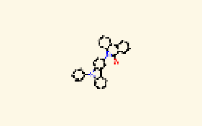 O=c1c2ccccc2c2ccccc2n1-c1ccc2c(c1)c1ccccc1n2-c1ccccc1